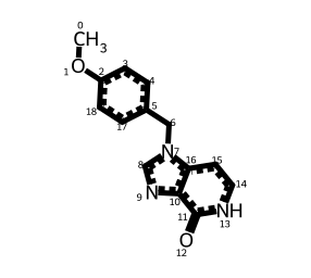 COc1ccc(Cn2cnc3c(=O)[nH]ccc32)cc1